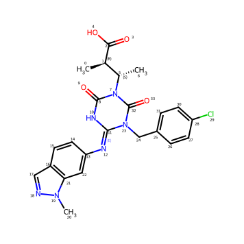 C[C@@H](C(=O)O)[C@H](C)n1c(=O)[nH]/c(=N\c2ccc3cnn(C)c3c2)n(Cc2ccc(Cl)cc2)c1=O